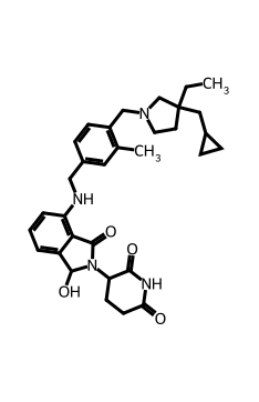 CCC1(CC2CC2)CCN(Cc2ccc(CNc3cccc4c3C(=O)N(C3CCC(=O)NC3=O)C4O)cc2C)C1